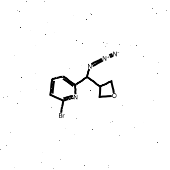 [N-]=[N+]=NC(c1cccc(Br)n1)C1COC1